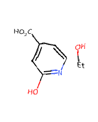 CCO.O=C(O)c1ccnc(O)c1